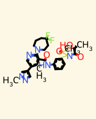 Cc1c(-c2cnn(C)c2)cnc(N2CCCC(F)(F)CC2)c1C(=O)Nc1cccc(S(C)(=O)=NC(=O)C(C)O)c1